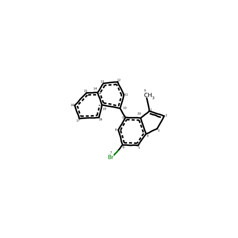 CC1=CCc2cc(Br)cc(-c3cccc4ccccc34)c21